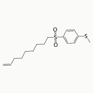 C=CCCCCCCCS(=O)(=O)c1ccc(SC)cc1